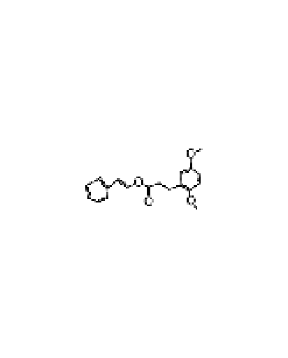 COc1ccc(OC)c(CCC(=O)OC=Cc2ccccc2)c1